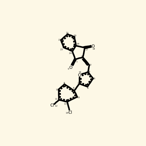 O=C1C(=Cc2ccc(-c3ccc(Cl)c(Cl)c3)o2)C(=O)c2ccccc21